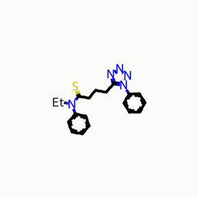 CCN(C(=S)CCCc1nnnn1-c1ccccc1)c1ccccc1